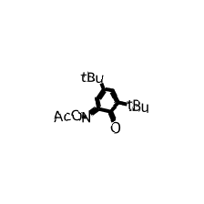 CC(=O)ON=C1C=C(C(C)(C)C)C=C(C(C)(C)C)C1=O